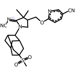 CC1(C)/C(=N/C#N)N(C2C3CC4CC2CC(S(C)(=O)=O)(C4)C3)CC1COc1ccc(C#N)cn1